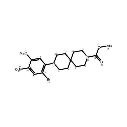 COc1cc(N2CCC3(CCN(C(=O)OC(C)(C)C)CC3)CC2)c(Br)cc1[N+](=O)[O-]